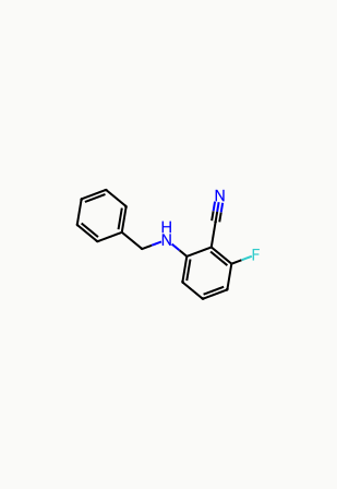 N#Cc1c(F)cccc1NCc1ccccc1